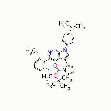 CCc1cccc(CC)c1-c1cc2c(-c3cccn3C(=O)OC(C)(C)C)cn(-c3ccc(C(C)C)cc3)c2cn1